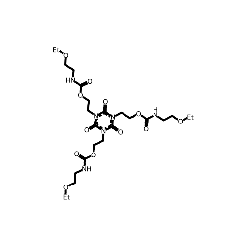 CCOCCNC(=O)OCCn1c(=O)n(CCOC(=O)NCCOCC)c(=O)n(CCOC(=O)NCCOCC)c1=O